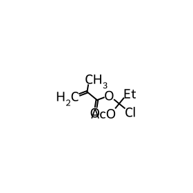 C=C(C)C(=O)OC(Cl)(CC)OC(C)=O